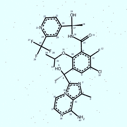 Cc1nc([C@@](C)(O)c2cc(Cl)c(F)c(C(=O)N[C@@](C)(O)c3ccnc(C(F)(F)F)c3)c2OC(C)C)n2ccnc(N)c12